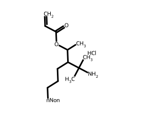 C=CC(=O)OC(C)C(CCCCCCCCCCCC)C(C)(C)N.Cl